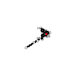 O=C(NCCOCCOCCCCCCCl)c1ccc(-c2c3ccc(=O)cc-3oc3cc(O)ccc23)c(C(O)O)c1